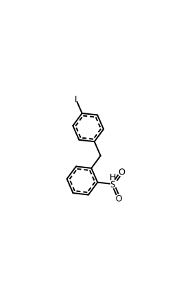 O=[SH](=O)c1ccccc1Cc1ccc(I)cc1